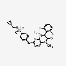 CN1C(=O)C(c2c(F)cccc2F)N(C)c2nc(Nc3ccc(S(=O)(=O)NCC4CC4)cc3)ncc21